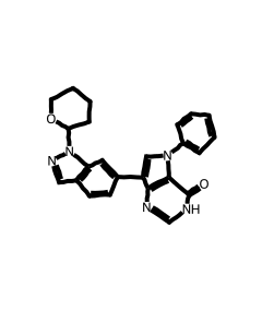 O=c1[nH]cnc2c(-c3ccc4cnn(C5CCCCO5)c4c3)cn(-c3ccccc3)c12